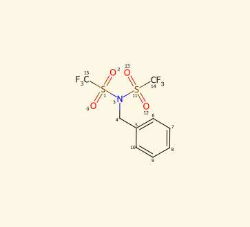 O=S(=O)(N(Cc1ccccc1)S(=O)(=O)C(F)(F)F)C(F)(F)F